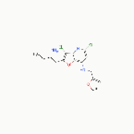 N[C@H](Cc1oc2c(NCc3ccco3)cc(Cl)nc2c1Cl)CC(F)(F)F